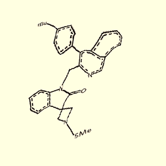 CSN1CC2(C1)C(=O)N(Cc1ncc3ccccc3c1-c1ccc(C(C)(C)C)cc1)c1ccccc12